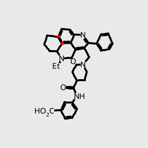 CCN(C(=O)c1c(CN2CCC(C(=O)Nc3cccc(C(=O)O)c3)CC2)c(-c2ccccc2)nc2ccccc12)C1CCCCC1